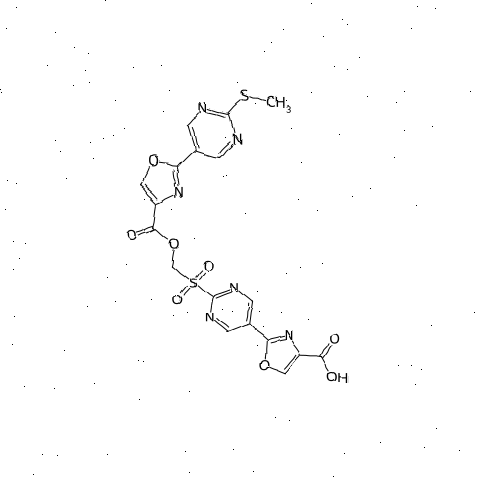 CSc1ncc(-c2nc(C(=O)OCS(=O)(=O)c3ncc(-c4nc(C(=O)O)co4)cn3)co2)cn1